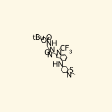 Cc1nc2c(s1)CC(Nc1cccc3c1cc(-c1noc(CNC(=O)OC(C)(C)C)n1)n3CC(F)(F)F)CC2